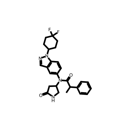 CC(C(=O)N(c1ccc2c(cnn2C2CCC(F)(F)CC2)c1)C1CNC(=O)C1)c1ccccc1